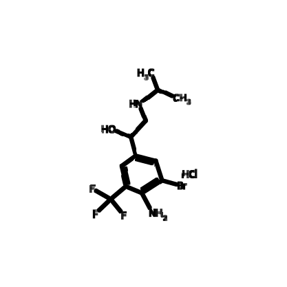 CC(C)NCC(O)c1cc(Br)c(N)c(C(F)(F)F)c1.Cl